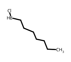 CCCCCCCBCl